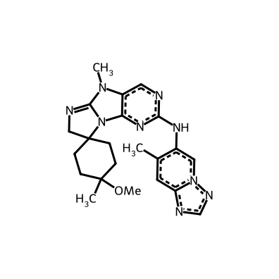 COC1(C)CCC2(CC1)CN=C1N(C)c3cnc(Nc4cn5ncnc5cc4C)nc3N12